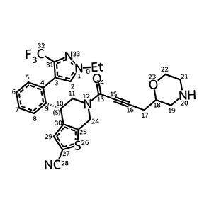 CCn1cc(-c2ccccc2[C@@H]2CN(C(=O)C#CCC3CNCCO3)Cc3sc(C#N)cc32)c(C(F)(F)F)n1